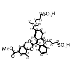 COC(=O)c1cc(C)c(OC(=O)c2c3ccccc3[n+](CCCS(=O)(=O)O)c3ccc(C[N+](C)(C)CCCS(=O)(=O)O)cc23)c(C)c1